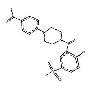 CC(=O)c1ccc(N2CCN(C(=O)c3cc(S(C)(=O)=O)ccc3I)CC2)cc1